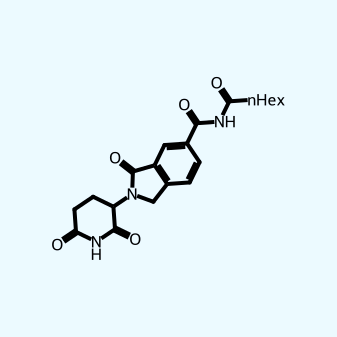 CCCCCCC(=O)NC(=O)c1ccc2c(c1)C(=O)N(C1CCC(=O)NC1=O)C2